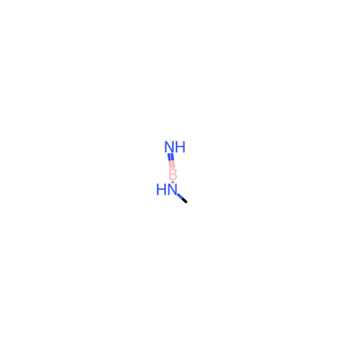 CNB=N